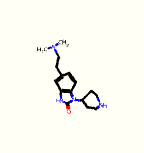 CN(C)CCc1ccc2c(c1)[nH]c(=O)n2C1CCNCC1